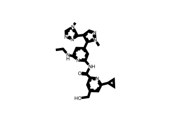 CCNc1cc(-c2c(-c3nncn3C)cnn2C)cc(NC(=O)c2cc(CO)cc(C3CC3)n2)n1